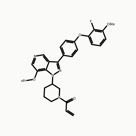 C=CC(=O)N1CCCC(n2nc(-c3ccc(Oc4cccc(OC)c4F)cc3)c3cncc(OCCC)c32)C1